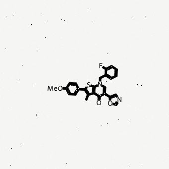 COc1ccc(-c2sc3c(c2C)c(=O)c(-c2cnco2)cn3Cc2ccccc2F)cc1